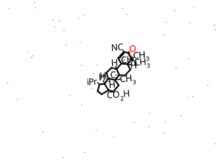 CC(C)[C@@H]1CC[C@]2(C(=O)O)CC[C@]3(C)[C@H](CC[C@@H]4[C@@]5(C)C=C(C#N)C(=O)C(C)(C)[C@@H]5CC[C@]43C)[C@@H]12